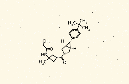 CCC(=O)N[C@]1(C)C[C@H](C(=O)N2C[C@@H]3[C@H](C2)[C@H]3c2ccc(C(C)(C)C)cc2)C1